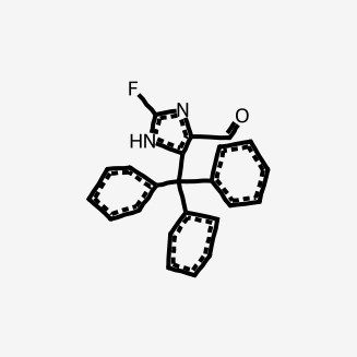 O=Cc1nc(F)[nH]c1C(c1ccccc1)(c1ccccc1)c1ccccc1